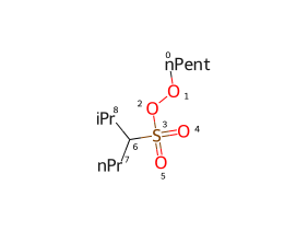 CCCCCOOS(=O)(=O)C(CCC)C(C)C